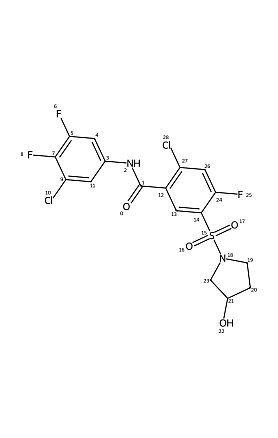 O=C(Nc1cc(F)c(F)c(Cl)c1)c1cc(S(=O)(=O)N2CCC(O)C2)c(F)cc1Cl